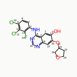 Oc1cc2c(Nc3ccc(Cl)c(Cl)c3F)ncnc2cc1OC1CCOC1